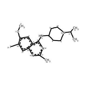 COc1cc2c(NC3CCN(C(C)C)CC3)nc(C)nc2cc1I